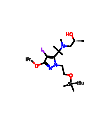 CC(C)Oc1nn(CCO[Si](C)(C)C(C)(C)C)c(C(C)(C)N(C)C[C@@H](C)O)c1I